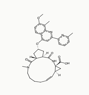 COc1ccc2c(O[C@@H]3C[C@H]4C(=O)N[C@]5(C(=O)O)C[C@H]5/C=C\CCCCN(C)C(=O)[C@@H]4C3)cc(-c3cccc(C)n3)nc2c1C